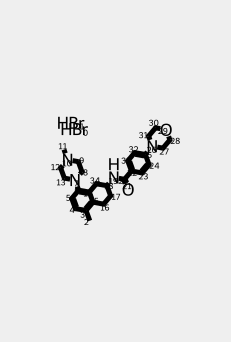 Br.Br.Cc1ccc(N2CCN(C)CC2)c2c1CCC(NC(=O)c1ccc(N3CCOCC3)cc1)C2